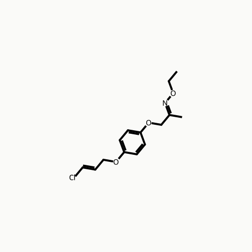 CCON=C(C)COc1ccc(OCC=CCl)cc1